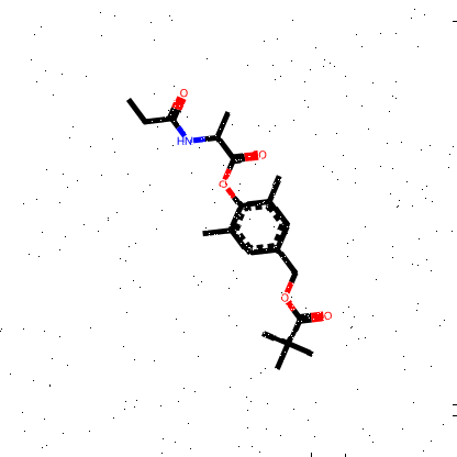 CCC(=O)NC(C)C(=O)Oc1c(C)cc(COC(=O)C(C)(C)C)cc1C